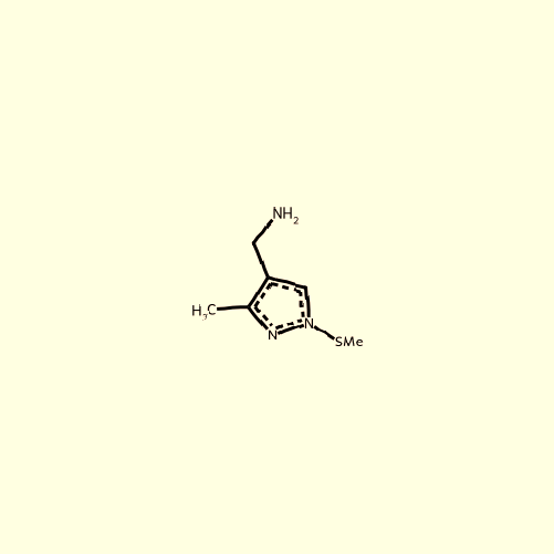 CSn1cc(CN)c(C)n1